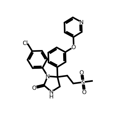 CS(=O)(=O)CCC1(c2cccc(Oc3cccnc3)c2)CNC(=O)N1c1ccc(Cl)cc1